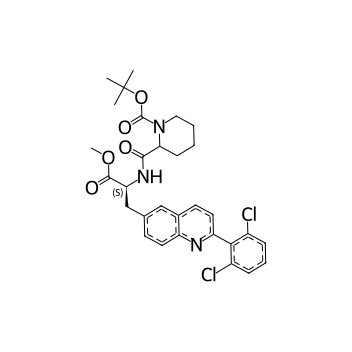 COC(=O)[C@H](Cc1ccc2nc(-c3c(Cl)cccc3Cl)ccc2c1)NC(=O)C1CCCCN1C(=O)OC(C)(C)C